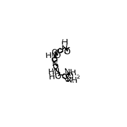 CC(=O)Nc1ccc(S(=O)(=O)Nc2ccc(N3CCC(NCC(O)c4cc(C(N)=O)c5[nH]ccc5c4)CC3)cc2)cc1